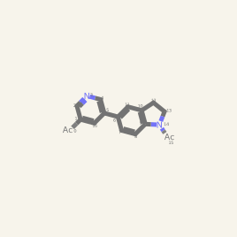 CC(=O)c1cncc(-c2ccc3c(c2)CCN3C(C)=O)c1